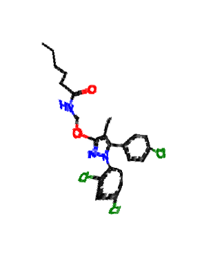 CCCCCC(=O)NCOc1nn(-c2ccc(Cl)cc2Cl)c(-c2ccc(Cl)cc2)c1C